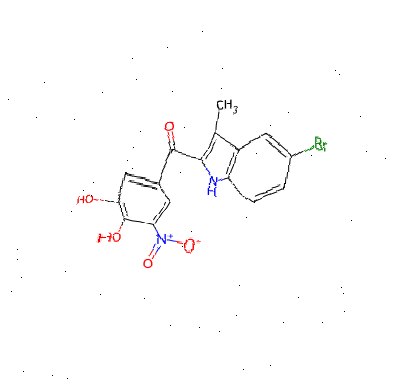 Cc1c(C(=O)c2cc(O)c(O)c([N+](=O)[O-])c2)[nH]c2ccc(Br)cc12